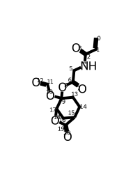 C=CC(=O)NCC(=O)OC1(OC=O)CCC2CC1OC2=O